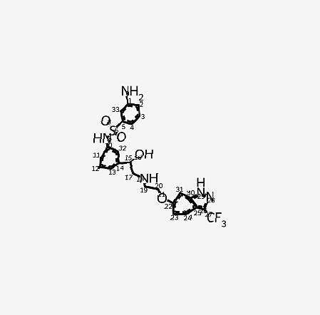 Nc1cccc(S(=O)(=O)Nc2cccc([C@@H](O)CNCCOc3ccc4c(C(F)(F)F)n[nH]c4c3)c2)c1